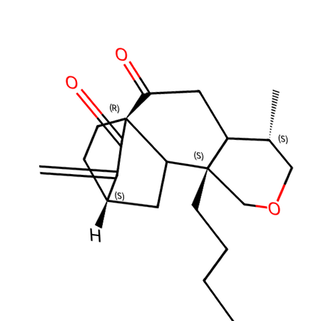 C=C1C(=O)[C@]23CC[C@H]1CC2[C@@]1(CCCC)COC[C@@H](C)C1CC3=O